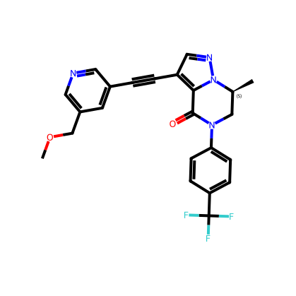 COCc1cncc(C#Cc2cnn3c2C(=O)N(c2ccc(C(F)(F)F)cc2)C[C@@H]3C)c1